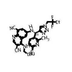 CCC(F)(F)Cn1cc([C@@H](Nc2cc(C#N)c3ncc(C#N)c(NCC(C)(C)C)c3c2)c2ccc(F)nc2C)nn1